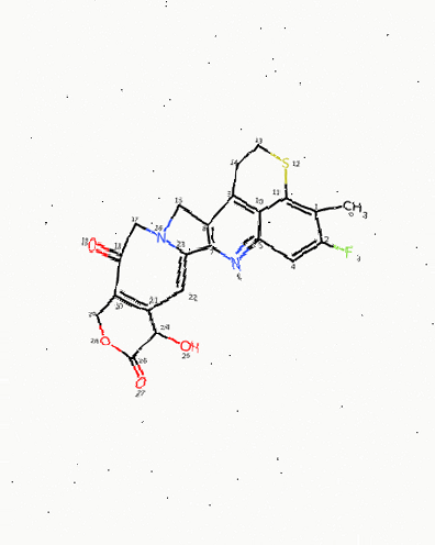 Cc1c(F)cc2nc3c(c4c2c1SCC4)CN1CC(=O)C2=C(C=C31)C(O)C(=O)OC2